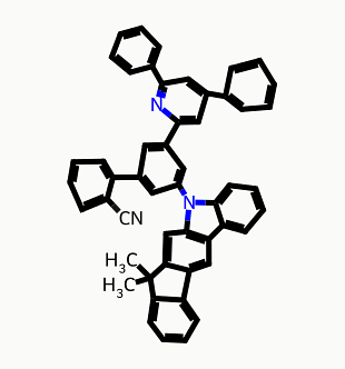 CC1(C)c2ccccc2-c2cc3c4ccccc4n(-c4cc(-c5cc(-c6ccccc6)cc(-c6ccccc6)n5)cc(-c5ccccc5C#N)c4)c3cc21